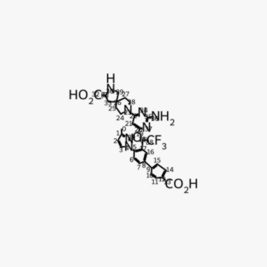 Cc1ccn(-c2ccc(-c3ccc(C(=O)O)cc3)cc2[C@@H](Oc2cc(N3CCC4(CC3)CN[C@H](C(=O)O)C4)nc(N)n2)C(F)(F)F)n1